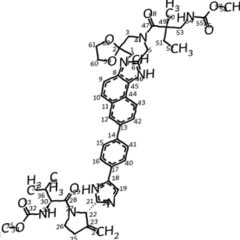 C#CC1(CN(Cc2nc3ccc4cc(-c5ccc(-c6cnc([C@@H]7C(=C)CCN7C(=O)[C@@H](NC(=O)OC)C(C)C)[nH]6)cc5)ccc4c3[nH]2)C(=O)[C@@](C)(CC)CNC(=O)OC)OCCO1